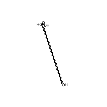 O=P(O)(O)CCCCCCCCCCCCCCCCCCCCCCCCCCCCCCCCCO